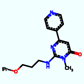 CC(C)OCCCNc1nc(-c2ccncc2)cc(=O)n1C